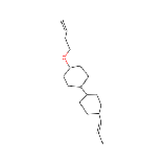 C=CCCOC1CCC(C2CCC(C=CC)CC2)CC1